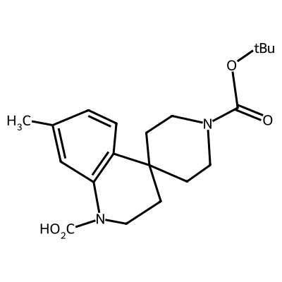 Cc1ccc2c(c1)N(C(=O)O)CCC21CCN(C(=O)OC(C)(C)C)CC1